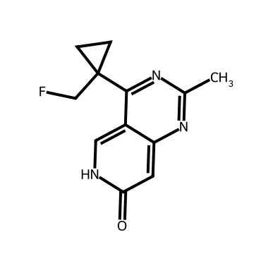 Cc1nc(C2(CF)CC2)c2c[nH]c(=O)cc2n1